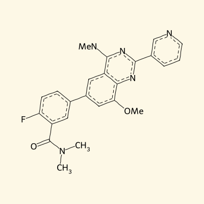 CNc1nc(-c2cccnc2)nc2c(OC)cc(-c3ccc(F)c(C(=O)N(C)C)c3)cc12